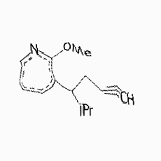 C#CCC(c1cccnc1OC)C(C)C